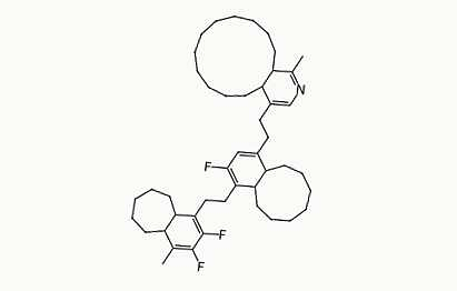 CC1=NC=C(CCC2=CC(F)=C(CCC3=C(F)C(F)=C(C)C4CCCCCC34)C3CCCCCCCC23)C2CCCCCCCCCCCC12